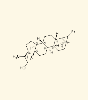 CCC1C2[C@H]3CC[C@@H]4[C@H](CC[C@]5(C)[C@@H](C(C)CO)CC[C@@H]45)[C@H]3CC[C@]12O